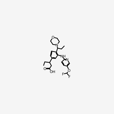 CCC(CC(=O)O)c1ccc(C(CC)N2CCOCC2)c(Nc2ccc(OC(F)F)cn2)c1